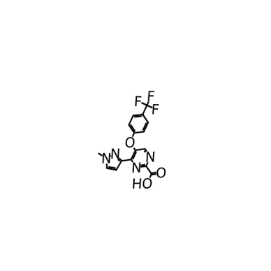 Cn1ccc(-c2nc(C(=O)O)ncc2Oc2ccc(C(F)(F)F)cc2)n1